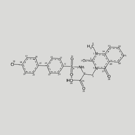 Cn1c(=O)n(CC(NS(=O)(=O)c2ccc(-c3ccc(Cl)cc3)cc2)C(=O)O)c(=O)c2ccccc21